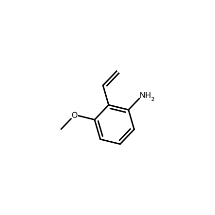 C=Cc1c(N)cccc1OC